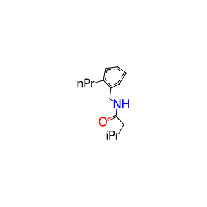 CCCc1ccccc1CNC(=O)CC(C)C